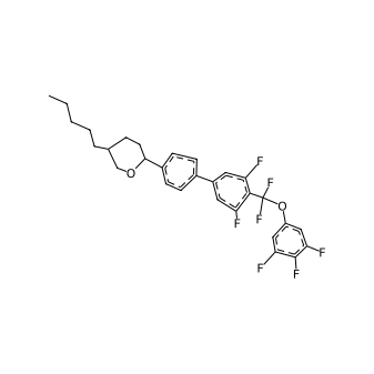 CCCCCC1CCC(c2ccc(-c3cc(F)c(C(F)(F)Oc4cc(F)c(F)c(F)c4)c(F)c3)cc2)OC1